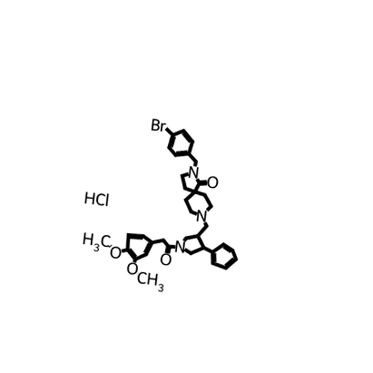 COc1ccc(CC(=O)N2CC(CN3CCC4(CC3)CCN(Cc3ccc(Br)cc3)C4=O)C(c3ccccc3)C2)cc1OC.Cl